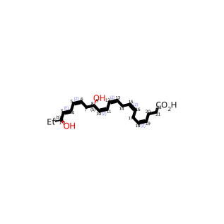 CC[C@H](O)/C=C/C=C\C[C@H](O)/C=C\C=C/C/C=C\C/C=C\CCC(=O)O